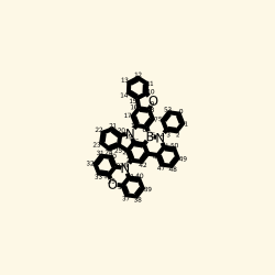 c1ccc(N2B3c4cc5oc6ccccc6c5cc4-n4c5ccccc5c5c(N6c7ccccc7Oc7ccccc76)cc(c3c54)-c3ccccc32)cc1